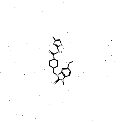 COc1ccc2c(c1)n(CC1CCC(C(=O)Nc3nc(C)cs3)CC1)c(=O)n2C